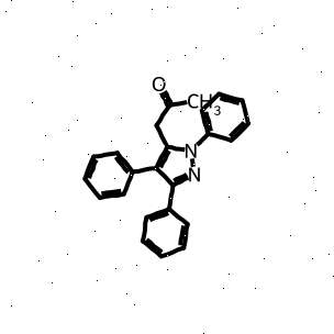 CC(=O)Cc1c(-c2ccccc2)c(-c2ccccc2)nn1-c1ccccc1